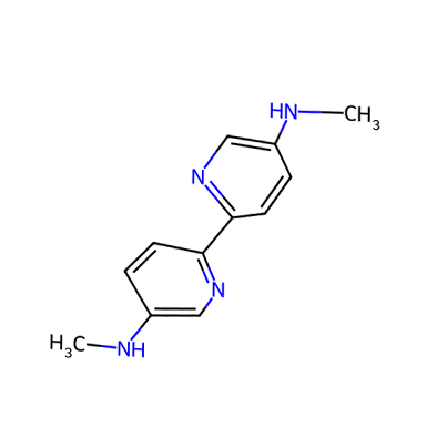 CNc1ccc(-c2ccc(NC)cn2)nc1